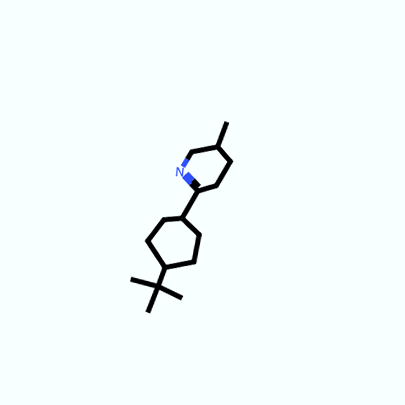 CC1CCC(C2CCC(C(C)(C)C)CC2)=NC1